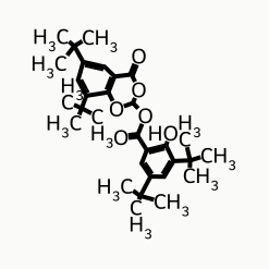 CC(C)(C)c1cc(C(=O)OC2OC(=O)c3cc(C(C)(C)C)cc(C(C)(C)C)c3O2)c(O)c(C(C)(C)C)c1